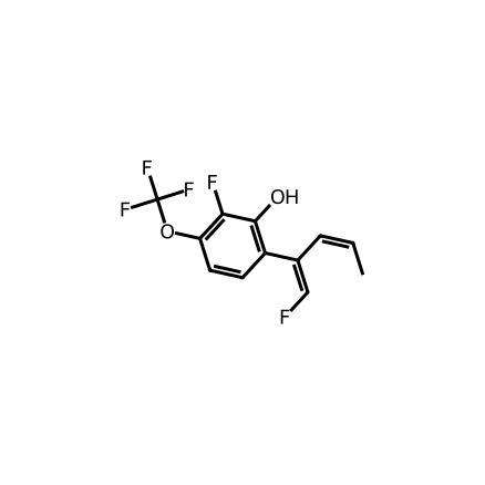 C/C=C\C(=C\F)c1ccc(OC(F)(F)F)c(F)c1O